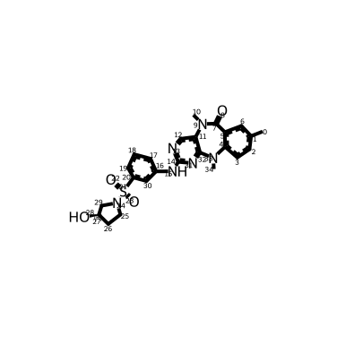 Cc1ccc2c(c1)C(=O)N(C)c1cnc(Nc3cccc(S(=O)(=O)N4CC[C@@H](O)C4)c3)nc1N2C